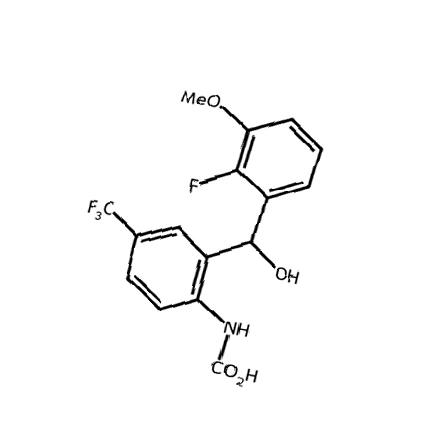 COc1cccc(C(O)c2cc(C(F)(F)F)ccc2NC(=O)O)c1F